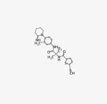 C#Cc1ccc(C(=O)NC(C)(C)C(=O)Nc2ccc(N3CCCCC3=N)c(C)c2)s1